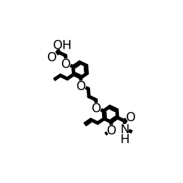 C=CCc1c(OCCCOc2cccc(OCC(=O)O)c2CCC)ccc(C(=O)NC)c1OC